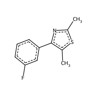 Cc1nc(-c2cccc(F)c2)c(C)s1